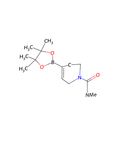 CNC(=O)N1CC=C(B2OC(C)(C)C(C)(C)O2)CC1